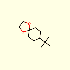 CC(C)(C)C1CCC2(CC1)OCCO2